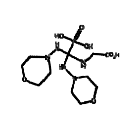 O=C(O)CNC(NN1CCOCC1)(NN1CCOCC1)P(=O)(O)O